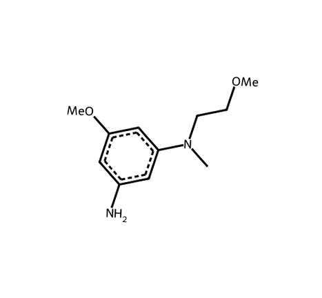 COCCN(C)c1cc(N)cc(OC)c1